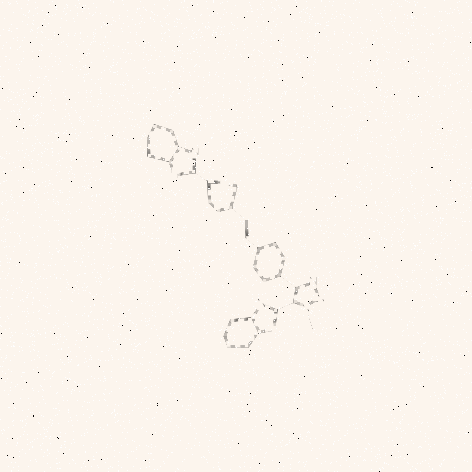 Cn1nnc(-c2ccc(C=Cc3ccc(-c4nc5ccccc5o4)cc3)cc2)c1-c1nc2ccccc2o1